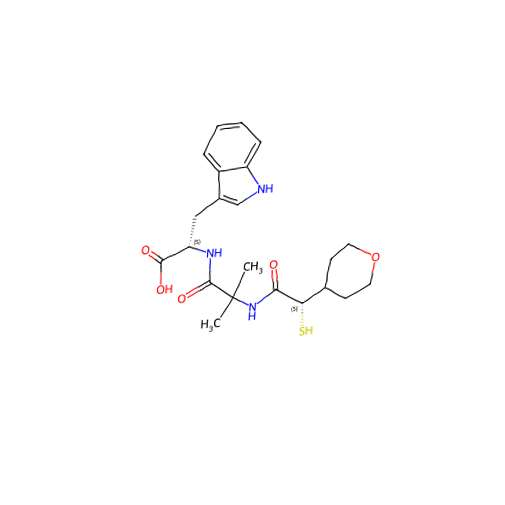 CC(C)(NC(=O)[C@@H](S)C1CCOCC1)C(=O)N[C@@H](Cc1c[nH]c2ccccc12)C(=O)O